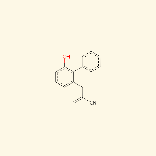 C=C(C#N)Cc1cccc(O)c1-c1ccccc1